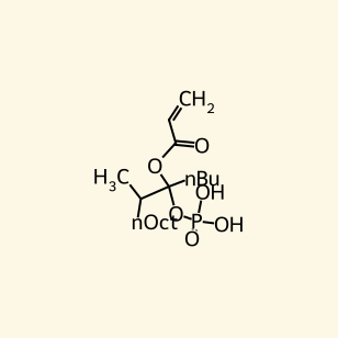 C=CC(=O)OC(CCCC)(OP(=O)(O)O)C(C)CCCCCCCC